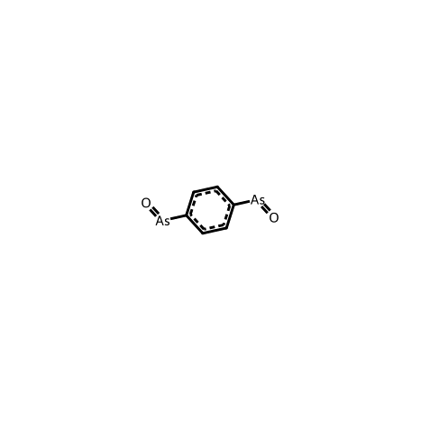 O=[As]c1ccc([As]=O)cc1